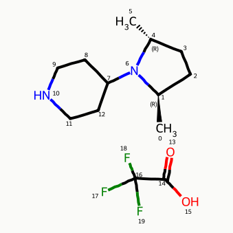 C[C@@H]1CC[C@@H](C)N1C1CCNCC1.O=C(O)C(F)(F)F